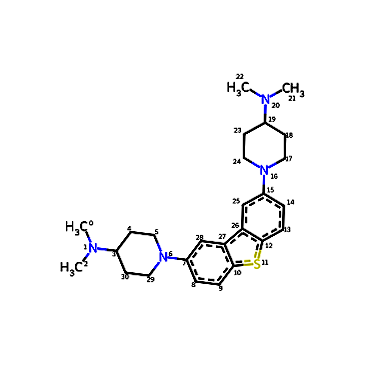 CN(C)C1CCN(c2ccc3sc4ccc(N5CCC(N(C)C)CC5)cc4c3c2)CC1